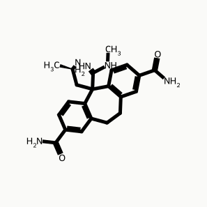 CNC(=N)C1(C[C@@H](C)N)c2ccc(C(N)=O)cc2CCc2cc(C(N)=O)ccc21